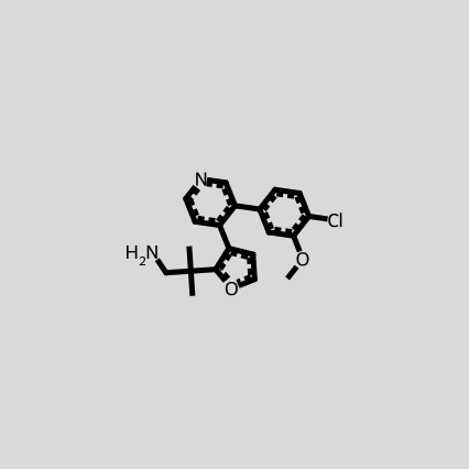 COc1cc(-c2cnccc2-c2ccoc2C(C)(C)CN)ccc1Cl